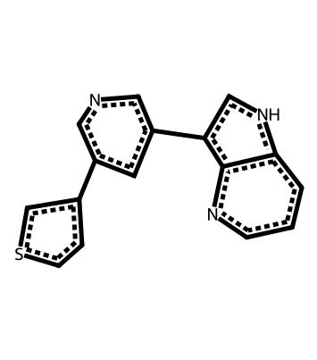 c1cnc2c(-c3cncc(-c4ccsc4)c3)c[nH]c2c1